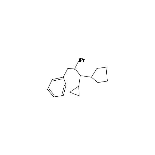 CC(C)[C](Cc1ccccc1)C(C1CCCC1)C1CC1